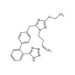 C=CCCn1nc(OCC)nc1Cc1ccc(-c2ccccc2-c2nnn[nH]2)cc1